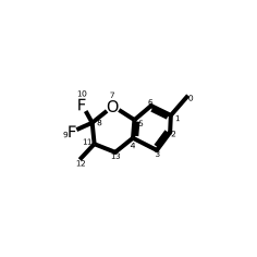 Cc1ccc2c(c1)OC(F)(F)C(C)C2